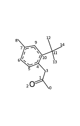 CC(=O)Cc1ccc(C)cc1C(C)(C)C